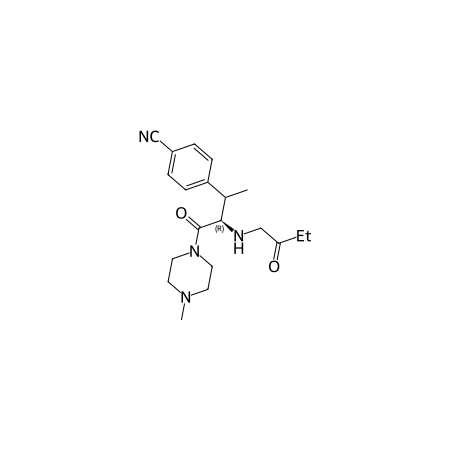 CCC(=O)CN[C@@H](C(=O)N1CCN(C)CC1)C(C)c1ccc(C#N)cc1